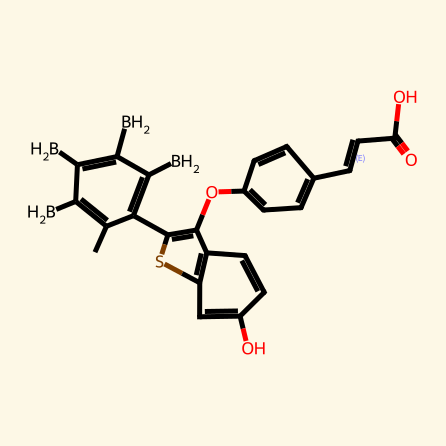 Bc1c(B)c(B)c(-c2sc3cc(O)ccc3c2Oc2ccc(/C=C/C(=O)O)cc2)c(C)c1B